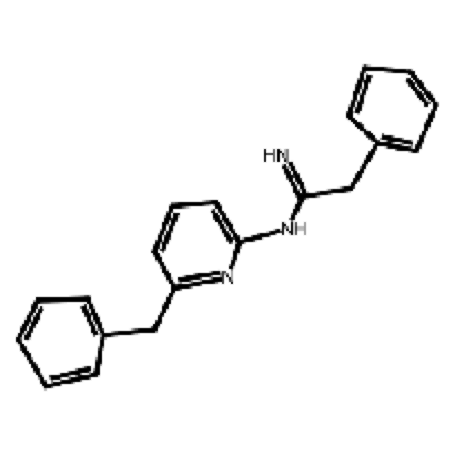 N=C(Cc1ccccc1)Nc1cccc(Cc2ccccc2)n1